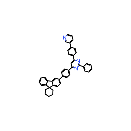 c1ccc(-c2nc(-c3ccc(-c4cccnc4)cc3)cc(-c3ccc(-c4ccc5c(c4)-c4ccccc4C54CCCCC4)cc3)n2)cc1